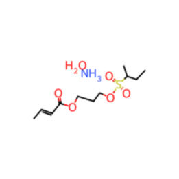 CC=CC(=O)OCCCOS(=O)(=O)C(C)CC.N.O